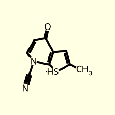 CC1=Cc2c(n(C#N)ccc2=O)[SH]1